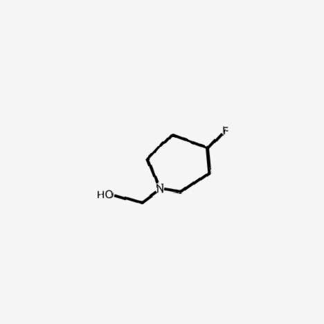 OCN1CCC(F)CC1